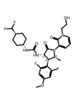 COc1cc(F)c([C@H]2[C@H](NC(=O)N[C@H]3CC[C@H](C(F)F)CC3)C(=O)N(c3cccn(CCO)c3=O)[C@H]2C)c(F)c1